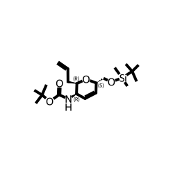 C=CC[C@H]1O[C@H](CO[Si](C)(C)C(C)(C)C)C=C[C@H]1NC(=O)OC(C)(C)C